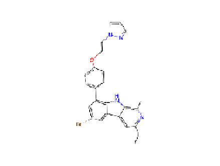 CCc1cc2c([nH]c3c(-c4ccc(OCCn5cccn5)cc4)cc(Br)cc32)c(C)n1